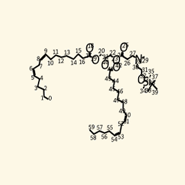 CCCCC/C=C\C/C=C\CCCCCCCC(=O)OC[C@H](COC(=O)CCN(C)CCO[Si](C)(C)C(C)(C)C)OC(=O)CCCCCCC/C=C\C/C=C\CCCCC